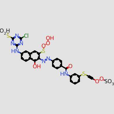 O=C(O)Sc1nc(Cl)nc(Nc2ccc3c(O)c(N=Nc4ccc(C(=O)Nc5cccc(SC#COOS(=O)(=O)O)c5)cc4)c(SOOO)cc3c2)n1